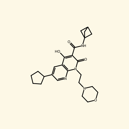 O=C(NC12CC(C1)C2)c1c(O)c2cc(C3CCCC3)cnc2n(CCN2CCOCC2)c1=O